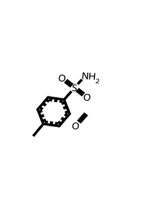 C=O.Cc1ccc(S(N)(=O)=O)cc1